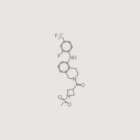 CS(=O)(=O)N1CC(C(=O)N2CCc3c(cccc3Nc3ccc(C(F)(F)F)cc3F)C2)C1